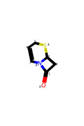 O=C1CC2SCC=[C]N12